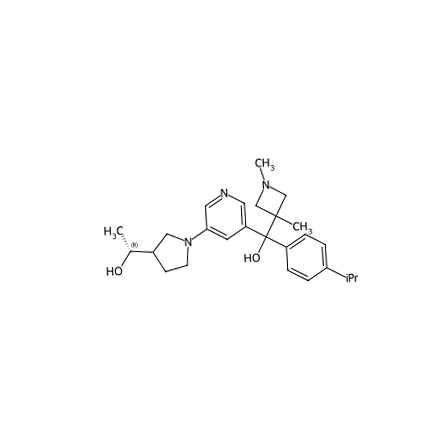 CC(C)c1ccc(C(O)(c2cncc(N3CCC([C@@H](C)O)C3)c2)C2(C)CN(C)C2)cc1